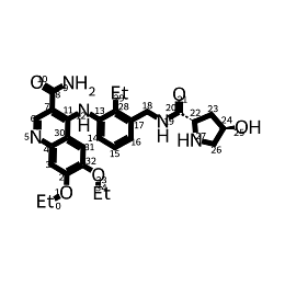 CCOc1cc2ncc(C(N)=O)c(Nc3cccc(CNC(=O)[C@@H]4C[C@@H](O)CN4)c3CC)c2cc1OCC